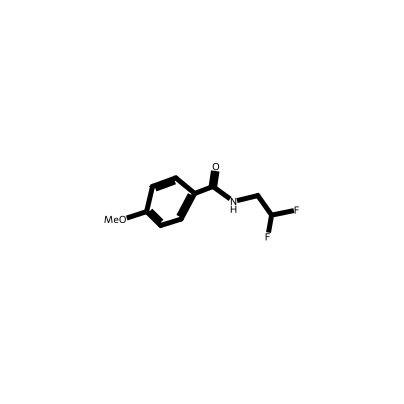 COc1[c]cc(C(=O)NCC(F)F)cc1